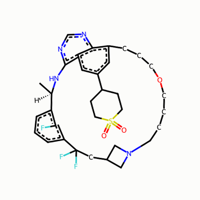 C[C@H]1Nc2ncnc3c(cc(C4CCS(=O)(=O)CC4)cc23)CCCOCCCCN2CC(C2)CC(F)(F)c2cccc1c2F